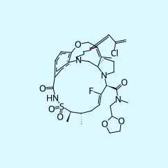 C=C(Cl)/C=C1/CCCCN2C[C@]34CCCN3[C@@H](C(=O)N(C)CC3OCCO3)/C(F)=C/C[C@H](C)[C@@H](C)S(=O)(=O)NC(=O)c3ccc(c2c3)OC/C1=C\4C